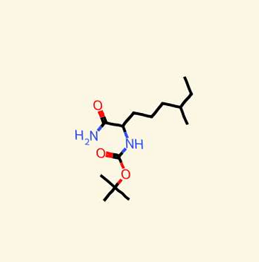 CCC(C)CCCC(NC(=O)OC(C)(C)C)C(N)=O